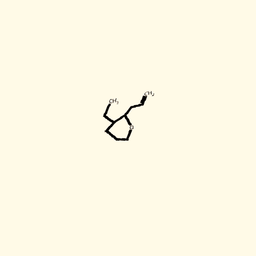 C=CCC1OCC[C]C1CC